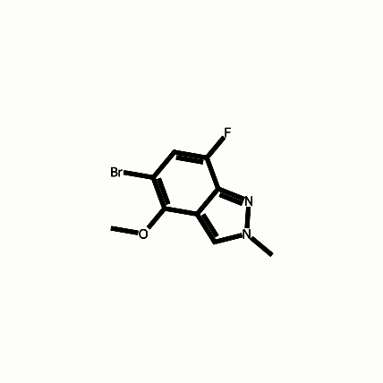 COc1c(Br)cc(F)c2nn(C)cc12